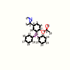 C/N=C(\C)c1ccc(OC(C)=O)c(P(c2ccccc2)c2ccccc2)c1